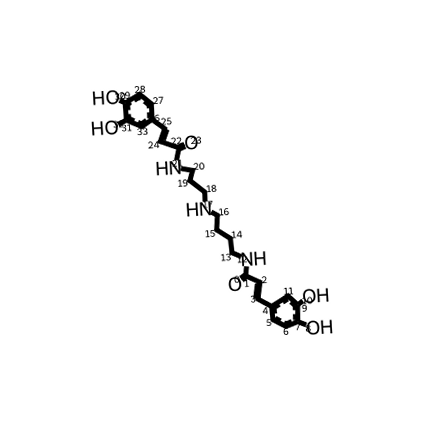 O=C(C=Cc1ccc(O)c(O)c1)NCCCCNCCCNC(=O)C=Cc1ccc(O)c(O)c1